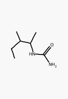 CCC(C)C(C)NC(N)=O